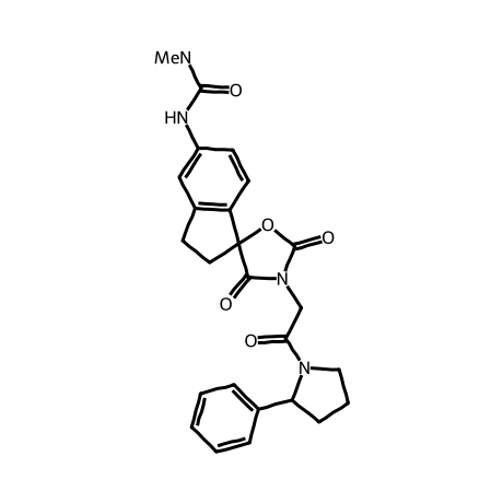 CNC(=O)Nc1ccc2c(c1)CCC21OC(=O)N(CC(=O)N2CCCC2c2ccccc2)C1=O